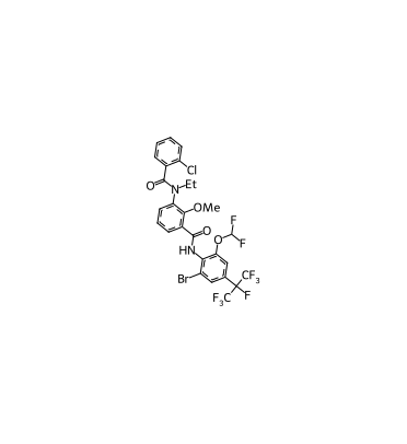 CCN(C(=O)c1ccccc1Cl)c1cccc(C(=O)Nc2c(Br)cc(C(F)(C(F)(F)F)C(F)(F)F)cc2OC(F)F)c1OC